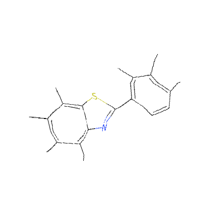 Cc1ccc(-c2nc3c(C)c(C)c(C)c(C)c3s2)c(C)c1C